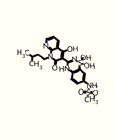 CC(C)CCn1c(=O)c(C2=NS(O)(O)c3cc(NS(C)(=O)=O)ccc3N2)c(O)c2cccnc21